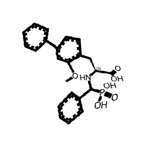 COc1cc(-c2ccccc2)ccc1C[C@H](NC(c1ccccc1)P(=O)(O)O)C(=O)O